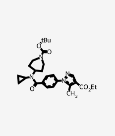 CCOC(=O)c1cnn(-c2ccc(C(=O)N(C3CC3)C3CCN(C(=O)OC(C)(C)C)CC3)cc2)c1C